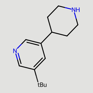 CC(C)(C)c1cncc(C2CCNCC2)c1